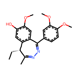 CC[C@H]1C(C)=NN=C(c2ccc(OC)c(OC)c2)c2cc(OC)c(O)cc21